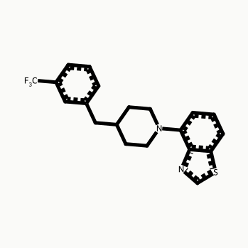 FC(F)(F)c1cccc(CC2CCN(c3cccc4scnc34)CC2)c1